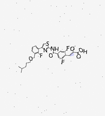 CO/C(=C\c1c(F)cc(C(=O)Nc2nc(-c3cccc(COCCCC(C)C)c3F)cs2)cc1F)C(=O)O